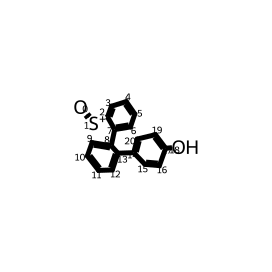 O=[S+]c1ccccc1-c1ccccc1-c1ccc(O)cc1